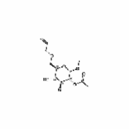 C=CCOC[C@H]1OC(OC)[C@H](OC(C)=O)[C@@H](O)[C@@H]1O